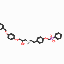 O=P(O)(COc1ccc(CC[AsH]C[C@@H](O)COc2ccc(OCc3ccccc3)cc2)cc1)c1ccccc1